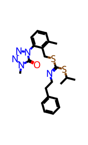 Cc1cccc(-n2nnn(C)c2=O)c1CS/C(=N/CCc1ccccc1)SC(C)C